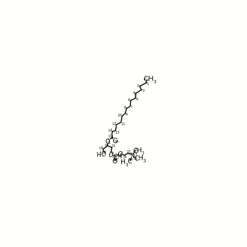 CCCCCCCCCCCCCCCC(=O)OC(CO)CO[PH](=O)OCC[N+](C)(C)C